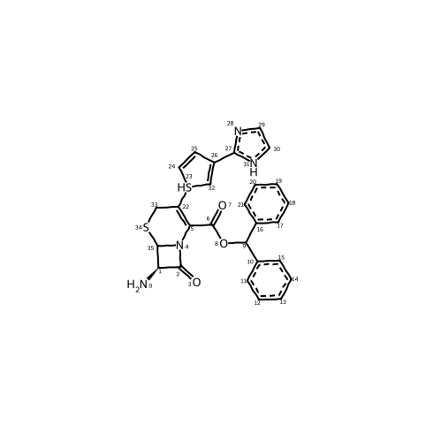 N[C@@H]1C(=O)N2C(C(=O)OC(c3ccccc3)c3ccccc3)=C([SH]3C=CC(c4ncc[nH]4)=C3)CSC12